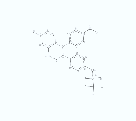 COc1ccc(C2c3ccc(C)cc3OCC2c2ccc(O[Si](C)(C)C(C)(C)C)cc2)cc1